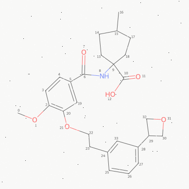 COc1ccc(C(=O)NC2(C(=O)O)CCC(C)CC2)cc1OCCc1cccc(C2COC2)c1